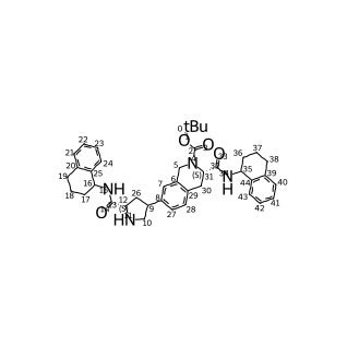 CC(C)(C)OC(=O)N1Cc2cc(C3CN[C@H](C(=O)NC4CCCc5ccccc54)C3)ccc2C[C@H]1C(=O)NC1CCCc2ccccc21